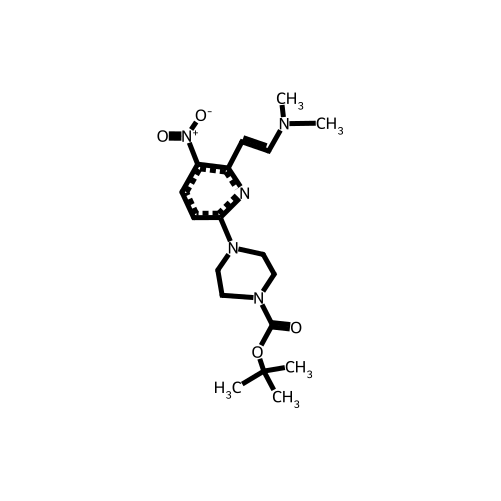 CN(C)/C=C/c1nc(N2CCN(C(=O)OC(C)(C)C)CC2)ccc1[N+](=O)[O-]